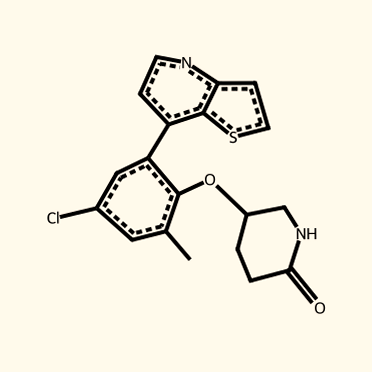 Cc1cc(Cl)cc(-c2ccnc3ccsc23)c1OC1CCC(=O)NC1